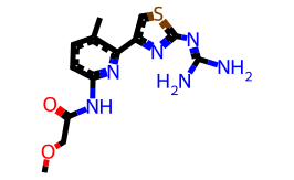 COCC(=O)Nc1ccc(C)c(-c2csc(N=C(N)N)n2)n1